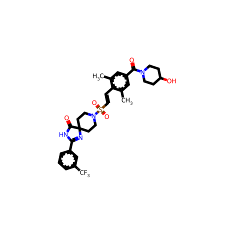 Cc1cc(C(=O)N2CCC(O)CC2)cc(C)c1/C=C/S(=O)(=O)N1CCC2(CC1)N=C(c1cccc(C(F)(F)F)c1)NC2=O